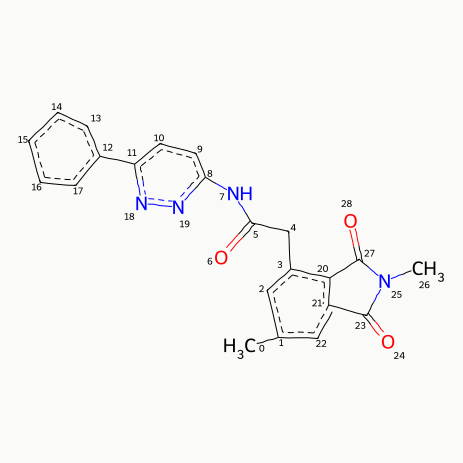 Cc1cc(CC(=O)Nc2ccc(-c3ccccc3)nn2)c2c(c1)C(=O)N(C)C2=O